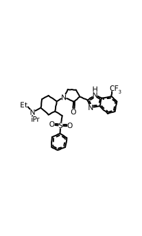 CCN(C(C)C)C1CCC(N2CCC(c3nc4cccc(C(F)(F)F)c4[nH]3)C2=O)C(CS(=O)(=O)c2ccccc2)C1